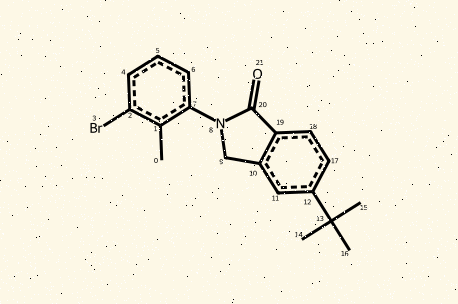 Cc1c(Br)cccc1N1Cc2cc(C(C)(C)C)ccc2C1=O